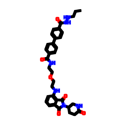 CCCNNC(=O)c1ccc(-c2ccc(C(=O)NCCOCCNc3cccc4c3C(=O)N(C3CCC(=O)NC3)C4=O)cc2)cc1